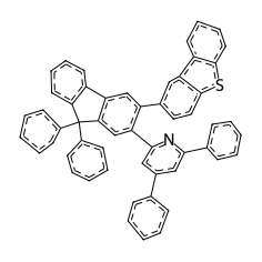 c1ccc(-c2cc(-c3ccccc3)nc(-c3cc4c(cc3-c3ccc5sc6ccccc6c5c3)-c3ccccc3C4(c3ccccc3)c3ccccc3)c2)cc1